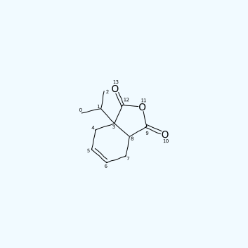 CC(C)C12CC=CCC1C(=O)OC2=O